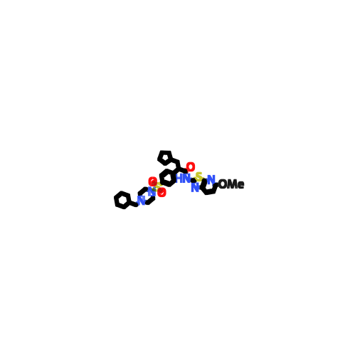 COc1ccc2nc(NC(=O)C(CC3CCCC3)c3ccc(S(=O)(=O)N4CCN(CC5CCCCC5)CC4)cc3)sc2n1